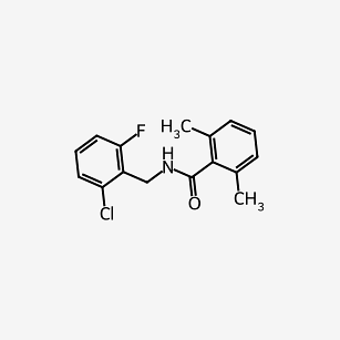 Cc1cccc(C)c1C(=O)NCc1c(F)cccc1Cl